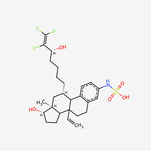 C=CC12CCc3cc(NS(=O)(=O)O)ccc3C1[C@@H](CCCC[C@@H](O)C(F)=C(F)F)C[C@@]1(C)C2CC[C@@H]1O